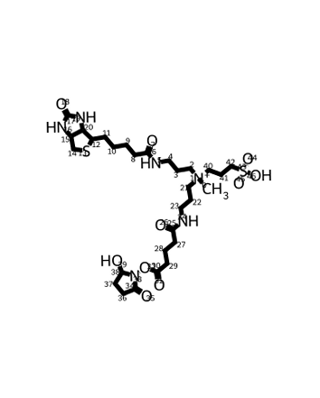 C[N+](CCCNC(=O)CCCCC1SCC2NC(=O)NC21)(CCCNC(=O)CCCC(=O)ON1C(=O)CCC1O)CCCS(=O)(=O)O